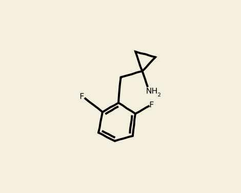 NC1(Cc2c(F)cccc2F)CC1